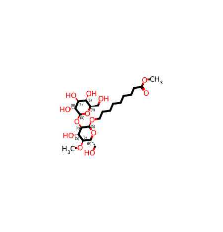 COC(=O)CCCCCCCCO[C@H]1O[C@H](CO)[C@@H](OC)[C@H](O)[C@H]1O[C@@H]1O[C@H](CO)[C@@H](O)[C@H](O)[C@H]1O